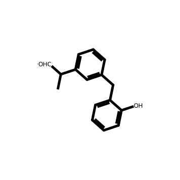 CC([C]=O)c1cccc(Cc2ccccc2O)c1